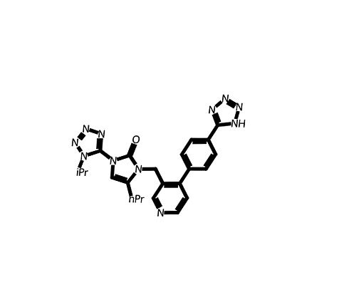 CCCc1cn(-c2nnnn2C(C)C)c(=O)n1Cc1cnccc1-c1ccc(-c2nnn[nH]2)cc1